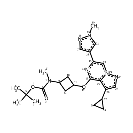 CN(C(=O)OC(C)(C)C)C1CC(Oc2nc(-c3cnn(C)c3)cn3ncc(C4CC4)c23)C1